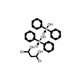 CCC(O)CC(O)CC.O=P(O)(c1ccccc1)c1ccccc1.O=P(O)(c1ccccc1)c1ccccc1